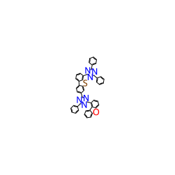 c1ccc(-c2nc(-c3ccccc3)nc(-c3cccc4c3sc3cc(-c5nc(-c6ccccc6)nc(-c6cccc7oc8ccccc8c67)n5)ccc34)n2)cc1